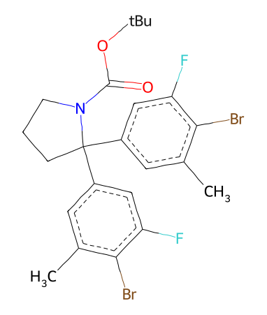 Cc1cc(C2(c3cc(C)c(Br)c(F)c3)CCCN2C(=O)OC(C)(C)C)cc(F)c1Br